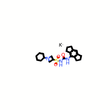 O=C(Nc1c2c(cc3c1CCC3)CCC2)NS(=O)(=O)C1CN(C2CCCCC2)C1.[K]